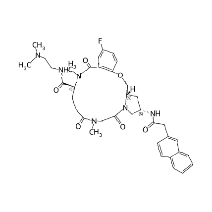 CN(C)CCNC(=O)[C@@H]1CCC(=O)N(C)CC(=O)N2C[C@@H](NC(=O)Cc3ccc4ccccc4c3)C[C@H]2COc2ccc(F)cc2C(=O)N1C